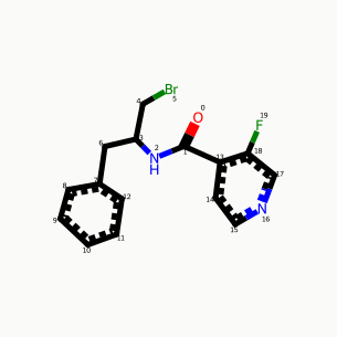 O=C(NC(CBr)Cc1ccccc1)c1ccncc1F